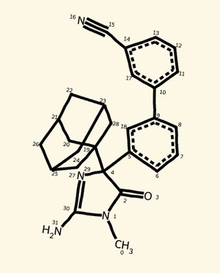 CN1C(=O)C(c2cccc(-c3cccc(C#N)c3)c2)(C23CC4CC(CC(C4)C2)C3)N=C1N